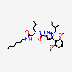 CCCCCCNC(=O)C[C@H](CC(C)C)NC(=O)c1cc(-c2c(OC)cccc2OC)n(CC(C)CC)n1